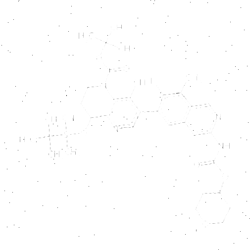 Cc1c(-c2cc3cc(NC(=O)OC4CCOCC4)ncc3c(C)c2F)cnc2c1N(C(=O)OC(C)(C)C)CCC2O[Si](C)(C)C(C)(C)C